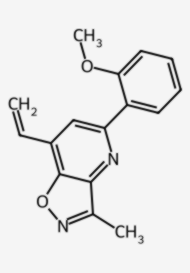 C=Cc1cc(-c2ccccc2OC)nc2c(C)noc12